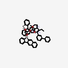 CCC1=C(c2cccc(-c3ccccc3)c2)/N=C(/c2cc(-n3c4ccccc4c4cc5ccccc5cc43)cc3sc4ccccc4c23)C(C)C\C=C\1c1ccc(-c2ccccc2)cc1